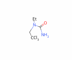 CCN(CC(Cl)(Cl)Cl)C(N)=O